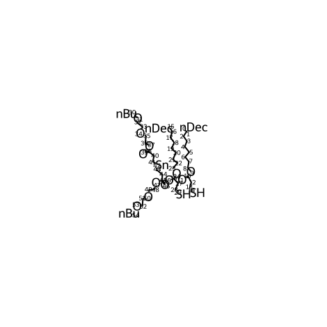 CCCCCCCCCCCCCCCCCCOC(=O)CCS.CCCCCCCCCCCCCCCCCCOC(=O)CCS.CCCCOCCOCCOC(=O)C[CH2][Sn][CH2]CC(=O)OCCOCCOCCCC